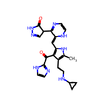 Cc1[nH]c(C=C2NC=CN=C2C2C=NNC2=O)c(C(=O)c2ncc[nH]2)c1CCNC1CC1